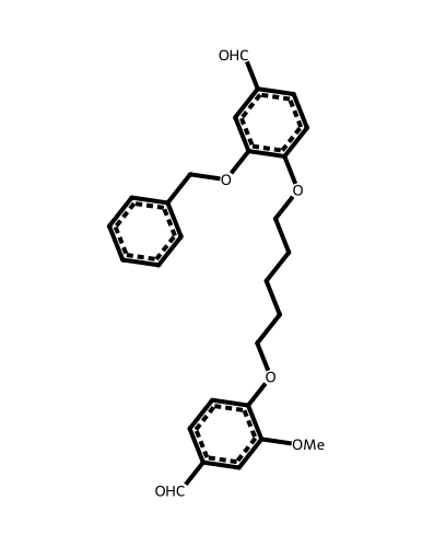 COc1cc(C=O)ccc1OCCCCCOc1ccc(C=O)cc1OCc1ccccc1